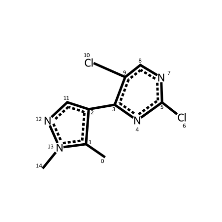 Cc1c(-c2nc(Cl)ncc2Cl)cnn1C